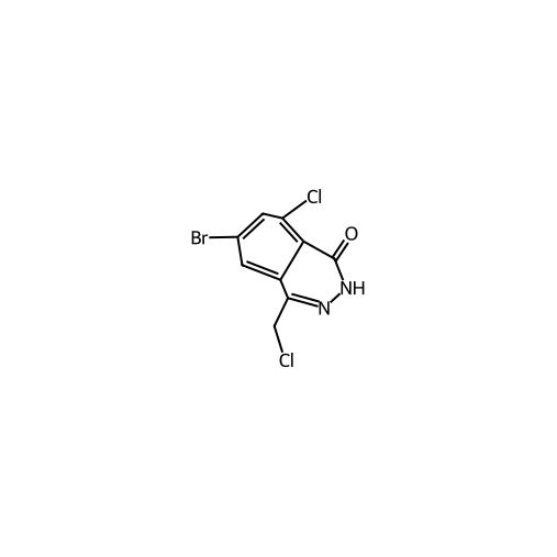 O=c1[nH]nc(CCl)c2cc(Br)cc(Cl)c12